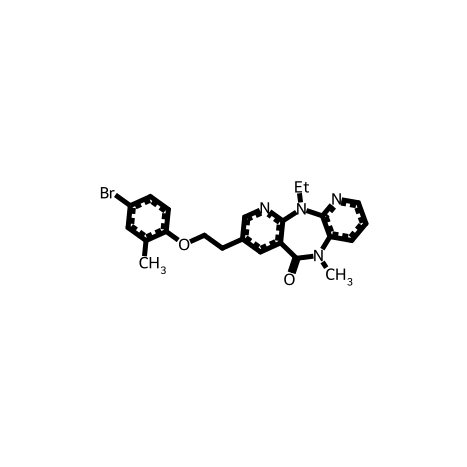 CCN1c2ncc(CCOc3ccc(Br)cc3C)cc2C(=O)N(C)c2cccnc21